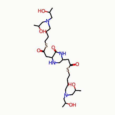 CC(O)CN(CCCCSC(=O)CC1CNC(CC(=O)SCCCCN(CC(C)O)CC(C)O)C(=O)N1)CC(C)O